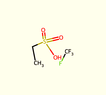 CCS(=O)(=O)O.FC(F)(F)F